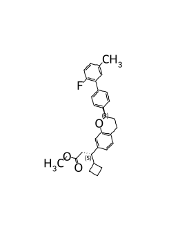 COC(=O)C[C@H](c1ccc2c(c1)O[C@@H](c1ccc(-c3cc(C)ccc3F)cc1)CC2)C1CCC1